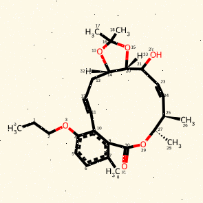 CCCOc1ccc(C)c2c1/C=C/C[C@@H]1OC(C)(C)O[C@@H]1C(O)/C=C\[C@@H](C)[C@H](C)OC2=O